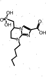 CCCCCN1CCC(CP(=O)(O)O)n2cc(C(=O)O)nc21